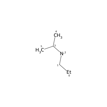 CCC[N]C(C)C